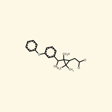 CC1(C)C(CC(Cl)Cl)C1(C(=O)O)C(C#N)c1cccc(Oc2ccccc2)c1